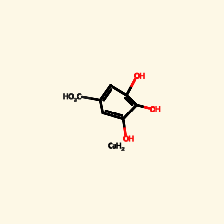 O=C(O)c1cc(O)c(O)c(O)c1.[CaH2]